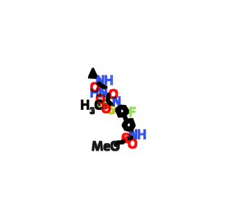 COCCOC(=O)Nc1ccc(-c2cc3sc(C(C(=O)NCC(=O)NC4CC4)S(C)(=O)=O)nc3cc2F)cc1